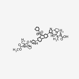 COC(=O)N[C@@H](C)C(=O)N1CCC[C@H]1c1ncc(-c2ccc3c4ccc(-c5cnc([C@@H]6CCCN6C(=O)[C@H](C)N(C)C(=O)O)[nH]5)cc4n(S(=O)(=O)c4ccccc4)c3c2)[nH]1